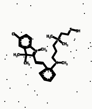 CN(CCC[N+](C)(C)CCSS)c1ccccc1/C=C/C1=[N+](C)c2ccc(Cl)cc2C1(C)C